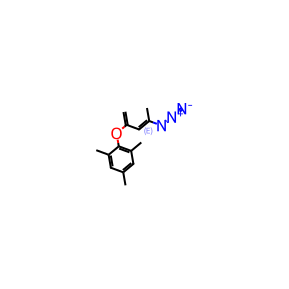 C=C(/C=C(\C)N=[N+]=[N-])Oc1c(C)cc(C)cc1C